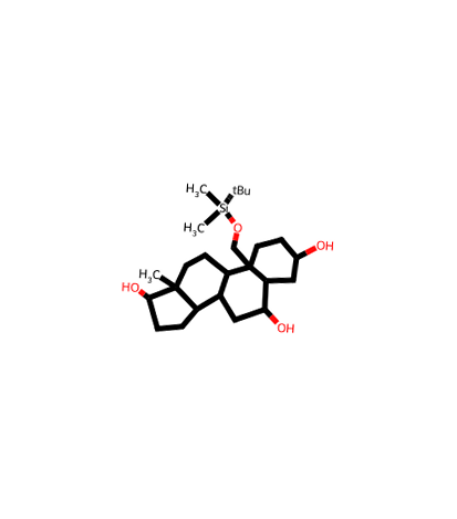 CC12CCC3C(CC(O)C4CC(O)CCC43CO[Si](C)(C)C(C)(C)C)C1CCC2O